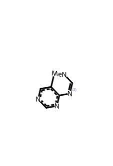 CN/C=N\c1ncncc1C